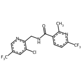 Cc1nc(C(F)(F)F)ccc1C(=O)NCc1ncc(C(F)(F)F)cc1Cl